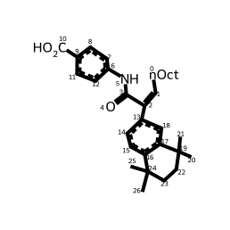 CCCCCCCCC=C(C(=O)Nc1ccc(C(=O)O)cc1)c1ccc2c(c1)C(C)(C)CCC2(C)C